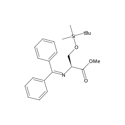 COC(=O)[C@H](CO[Si](C)(C)C(C)(C)C)N=C(c1ccccc1)c1ccccc1